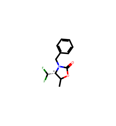 CC1OC(=O)N(Cc2ccccc2)[C@H]1C(F)F